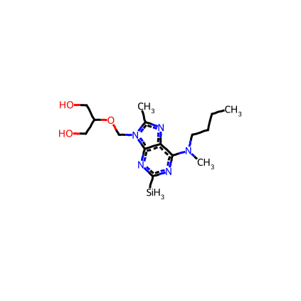 CCCCN(C)c1nc([SiH3])nc2c1nc(C)n2COC(CO)CO